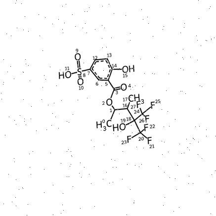 CC(OC(=O)c1cc(S(=O)(=O)O)ccc1O)C(C)C(O)(C(F)(F)F)C(F)(F)F